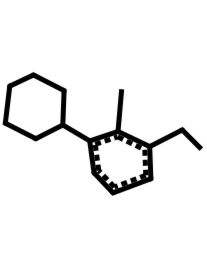 CCc1cccc(C2CCCCC2)c1C